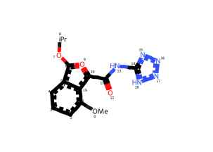 COc1cccc2c(OC(C)C)oc(C(=O)Nc3nnn[nH]3)c12